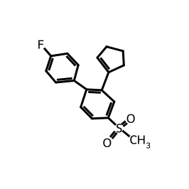 CS(=O)(=O)c1ccc(-c2ccc(F)cc2)c(C2=CCCC2)c1